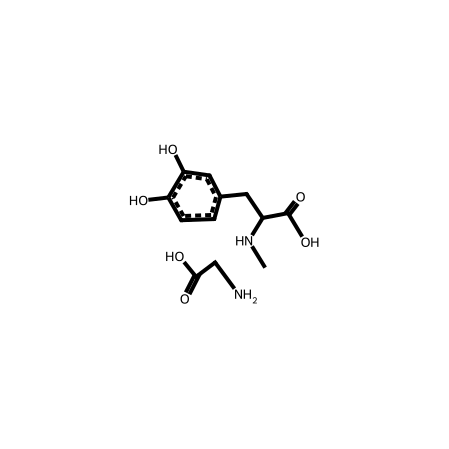 CNC(Cc1ccc(O)c(O)c1)C(=O)O.NCC(=O)O